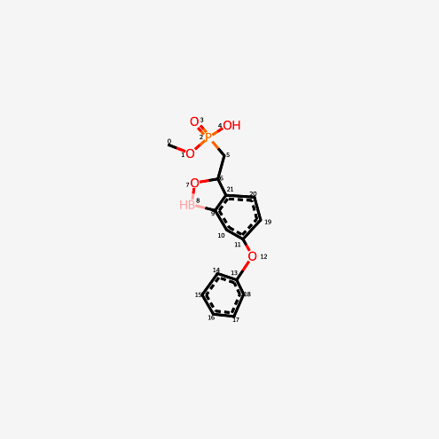 COP(=O)(O)CC1OBc2cc(Oc3ccccc3)ccc21